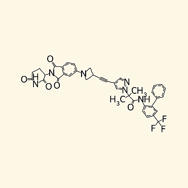 CC(C)(C(=O)Nc1ccc(C(F)(F)F)cc1-c1ccccc1)n1cc(C#CC2CN(c3ccc4c(c3)C(=O)N(C3CCC(=O)NC3=O)C4=O)C2)cn1